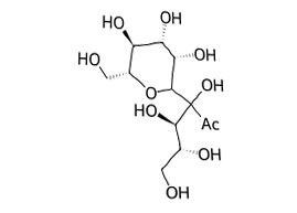 CC(=O)C(O)(C1O[C@H](CO)[C@@H](O)[C@H](O)[C@@H]1O)[C@H](O)[C@H](O)CO